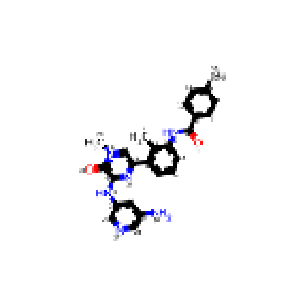 Cc1c(NC(=O)c2ccc(C(C)(C)C)cc2)cccc1-c1cn(C)c(=O)c(Nc2cncc(N)c2)n1